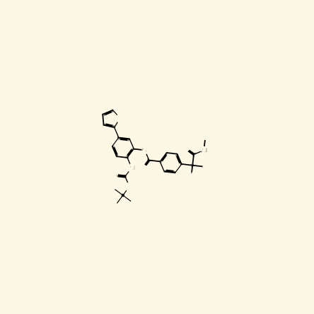 CNC(=O)C(C)(O)c1ccc(C(=O)Nc2cc(-c3cccs3)ccc2NC(=O)OC(C)(C)C)cc1